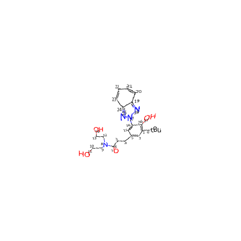 CC(C)(C)c1cc(CCC(=O)N(CCO)CCO)cc(-n2nc3ccccc3n2)c1O